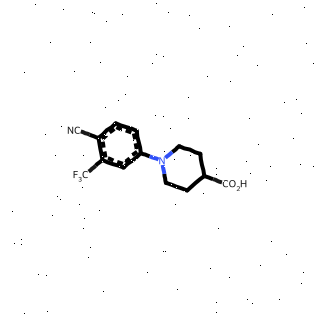 N#Cc1ccc(N2CCC(C(=O)O)CC2)cc1C(F)(F)F